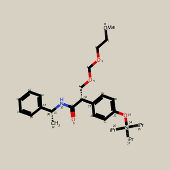 COCCOCOC[C@@H](C(=O)N[C@H](C)c1ccccc1)c1ccc(O[Si](C(C)C)(C(C)C)C(C)C)cc1